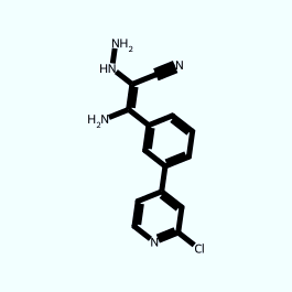 N#C/C(NN)=C(/N)c1cccc(-c2ccnc(Cl)c2)c1